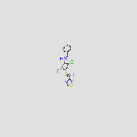 Fc1cc(NCc2ccccc2)c(Cl)cc1SNc1cscn1